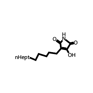 CCCCCCCCCCCCC1=C(O)C(=O)NC1=O